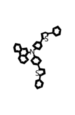 C1=C(c2ccc(N(c3ccc(-c4ccc(-c5ccccc5)s4)cc3)c3cc4ccccc4c4ccccc34)cc2)SC(c2ccccc2)C1